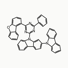 c1ccc(-c2nc(-c3cccc4oc5ccccc5c34)nc(-n3c4ccccc4c4ccc(-n5c6ccccc6c6ccccc65)cc43)n2)cc1